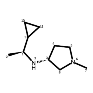 C[C@H](N[C@@H]1CCN(C)C1)C1CC1